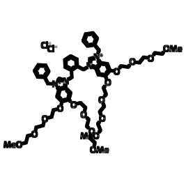 COCCOCCOCCOc1cc2c(cc1OCCOCCOCCOC)[n+](Cc1ccccc1)cn2Cc1ccccc1Cn1c[n+](Cc2ccccc2)c2cc(OCCOCCOCCOC)c(OCCOCCOCCOC)cc21.[Cl-].[Cl-]